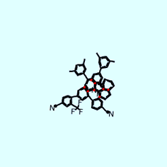 Cc1cc(C)cc(-c2ccc3c(c2)c2ccccc2n3-c2ccc(-c3ccc(C#N)cc3C(F)(F)F)cc2-c2ccc(C#N)cc2-n2c3ccccc3c3cc(-c4cc(C)cc(C)c4)ccc32)c1